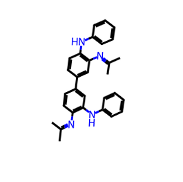 CC(C)=Nc1cc(-c2ccc(N=C(C)C)c(Nc3ccccc3)c2)ccc1Nc1ccccc1